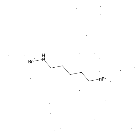 CCCCCCCCNBr